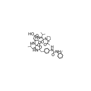 CC(=O)[C@@H]1CCCN1C(=O)[C@@H](NC(=O)[C@H](CC(=O)O)NC(=O)[C@H](CC(C)C)NC(=O)Cc1ccc(NC(=O)Nc2ccccc2C)cc1)C(C)C